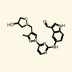 Cc1nn(-c2ccnc(Nc3ccc4[nH]cc(C=O)c4c3)n2)cc1CN1CC(O)CO1